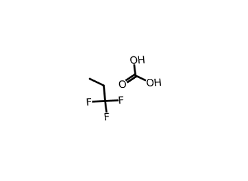 CCC(F)(F)F.O=C(O)O